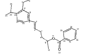 CCc1cc(C=CCCC(C)OC(=O)c2ccccc2)ccc1C(C)C